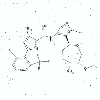 CO[C@H]1CO[C@H](c2c(NC(O)c3nc(-c4c(F)cccc4C(F)(F)F)sc3N)cnn2C)CC[C@H]1N